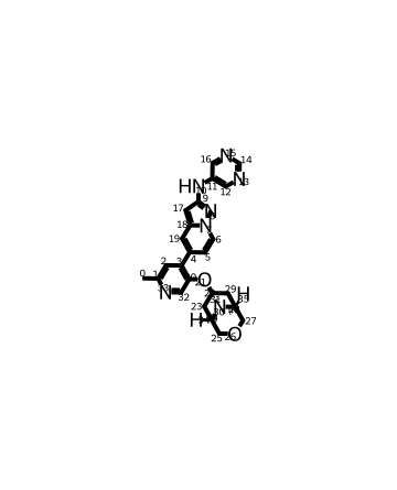 Cc1cc(-c2ccn3nc(Nc4cncnc4)cc3c2)c(OC2C[C@H]3COC[C@@H](C2)N3C)cn1